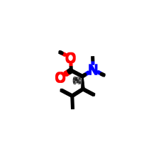 COC(=O)[C@H](C(C)C(C)C)N(C)C